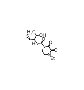 CCN1CCN(C(=O)NC([C]=S)C(C)O)C(=O)C1=O